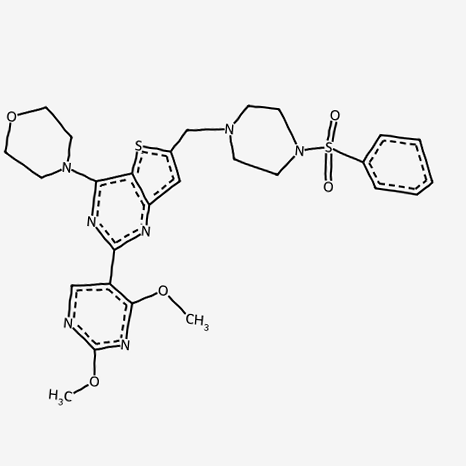 COc1ncc(-c2nc(N3CCOCC3)c3sc(CN4CCN(S(=O)(=O)c5ccccc5)CC4)cc3n2)c(OC)n1